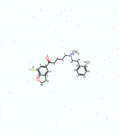 CN(CCCCC(=O)c1cc(S)c2c(c1)CCO2)CCc1ccccc1Cl